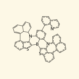 C1=CC2=CC=CC3C2C(=C1)c1cccc2sc4c(c12)N3c1cc(-c2cccc3cccnc23)cc2c1B4c1sc3cccc4c5cccc6cccc(c65)n-2c1c34